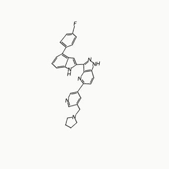 Fc1ccc(-c2cccc3[nH]c(-c4n[nH]c5ccc(-c6cncc(CN7CCCC7)c6)nc45)cc23)cc1